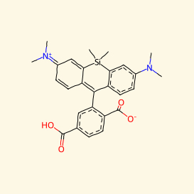 CN(C)c1ccc2c(c1)[Si](C)(C)C1=CC(=[N+](C)C)C=CC1=C2c1cc(C(=O)O)ccc1C(=O)[O-]